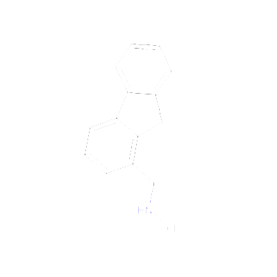 O=[C]NCc1cccc2c1Cc1ccccc1-2